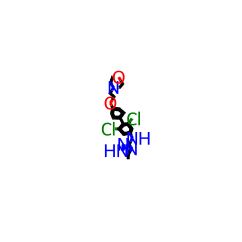 Cc1nc(Nc2cc(Cl)c(-c3ccc(OCCN4CCOCC4)cc3)c(Cl)c2)n[nH]1